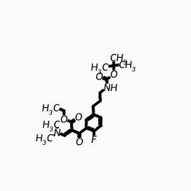 CCOC(=O)C(=CN(C)C)C(=O)c1cc(CCCNC(=O)OC(C)(C)C)ccc1F